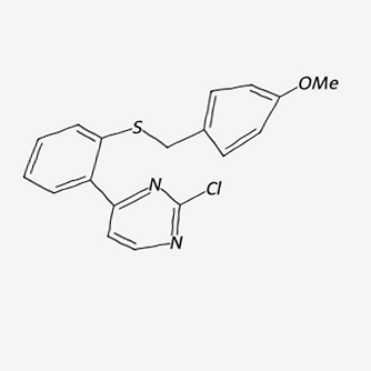 COc1ccc(CSc2ccccc2-c2ccnc(Cl)n2)cc1